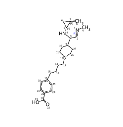 C/N=C/C(N[C@@H]1C[C@H]1C)C1CCN(CCCCc2ccc(C(=O)O)cc2)CC1